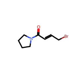 O=C(/C=C/CBr)N1CCCC1